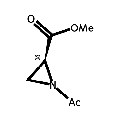 COC(=O)[C@@H]1CN1C(C)=O